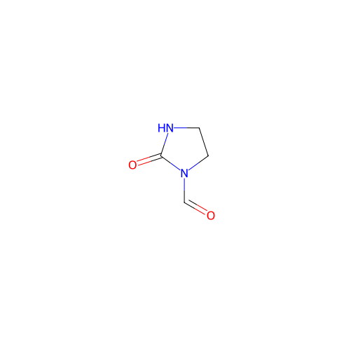 O=CN1CCNC1=O